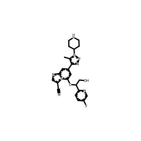 Cc1c(-c2cc(OC(CO)c3ccc(F)cn3)n3c(C#N)cnc3c2)nnn1C1CCNCC1